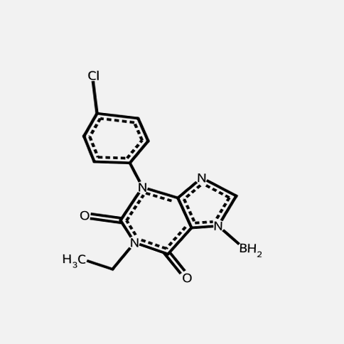 Bn1cnc2c1c(=O)n(CC)c(=O)n2-c1ccc(Cl)cc1